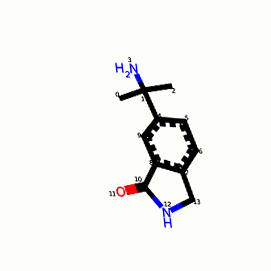 CC(C)(N)c1ccc2c(c1)C(=O)NC2